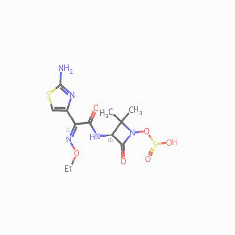 CCO/N=C(\C(=O)N[C@@H]1C(=O)N(OS(=O)O)C1(C)C)c1csc(N)n1